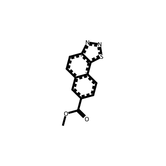 COC(=O)c1ccc2c(ccc3nnsc32)c1